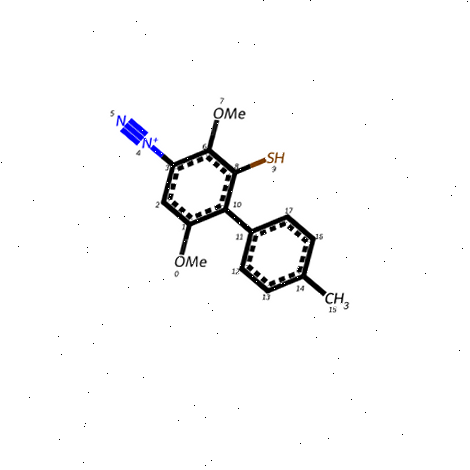 COc1cc([N+]#N)c(OC)c(S)c1-c1ccc(C)cc1